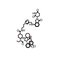 CCN(C(=O)[C@@H]1NC2(CCCCC2)[C@@]2(C(=O)Nc3cc(Cl)ccc32)[C@H]1c1cccc(Cl)c1F)C12CCC(C(=O)NCCCn3cnc(CNc4cccc5c4CN([C@@H]4CCC(=O)NC4=O)C5=O)c3)(CC1)CC2